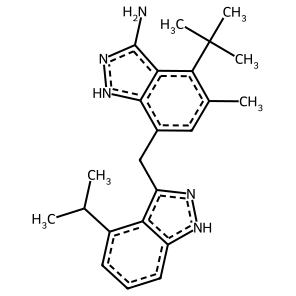 Cc1cc(Cc2n[nH]c3cccc(C(C)C)c23)c2[nH]nc(N)c2c1C(C)(C)C